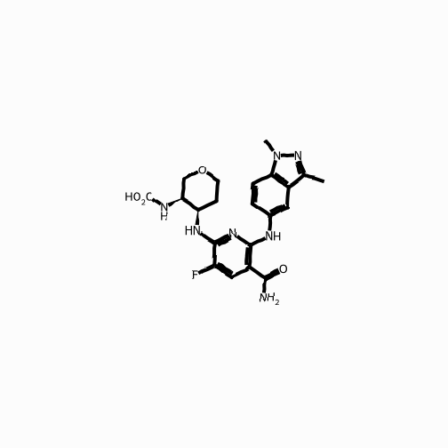 Cc1nn(C)c2ccc(Nc3nc(N[C@@H]4CCOC[C@@H]4NC(=O)O)c(F)cc3C(N)=O)cc12